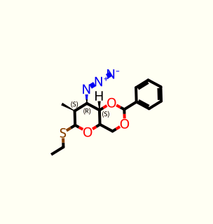 CCSC1OC2COC(c3ccccc3)O[C@H]2[C@H](N=[N+]=[N-])[C@@H]1C